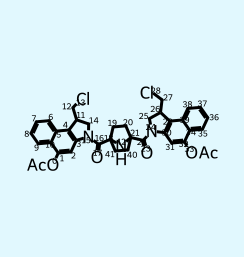 CC(=O)Oc1cc2c(c3ccccc13)C(CCl)CN2C(=O)C12CCC(C(=O)N3CC(CCl)c4c3cc(OC(C)=O)c3ccccc43)(CC1)N2